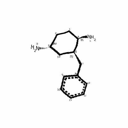 N[C@@H]1CC[C@@H](N)[C@@H](Cc2ccccc2)C1